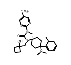 COc1cnc(N2C[C@]3(CC[C@](C4=CC=CCC4C)(N(C)C)CC3)N(CC3(O)CCC3)C2=O)nc1